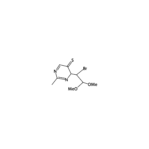 COC(OC)C(Br)C1N=C(C)N=CC1=S